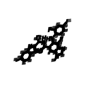 CCC(NC(=O)c1cc2c(ncn2C)c(F)c1Nc1ccc(I)cc1F)c1nc2cc(C)ccc2[nH]1